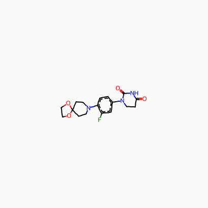 O=C1CCN(c2ccc(N3CCC4(CC3)OCCO4)c(F)c2)C(=O)N1